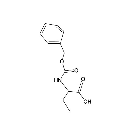 CCC(NC(=O)OCc1ccccc1)C(=O)O